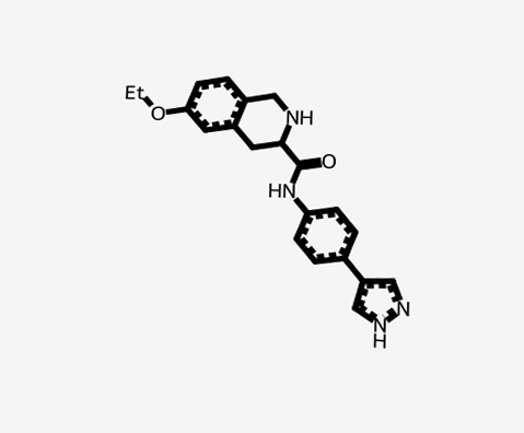 CCOc1ccc2c(c1)CC(C(=O)Nc1ccc(-c3cn[nH]c3)cc1)NC2